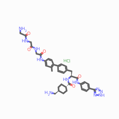 Cc1cc(NC(=O)CNC(=O)CNC(=O)CN)ccc1-c1ccc(C[C@H](NC(=O)[C@H]2CC[C@H](CN)CC2)C(=O)Nc2ccc(-c3nn[nH]n3)cc2)cc1.Cl